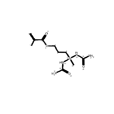 C=C(C)C(=O)OCCC[Si](C)(NC(N)=O)NC(N)=O